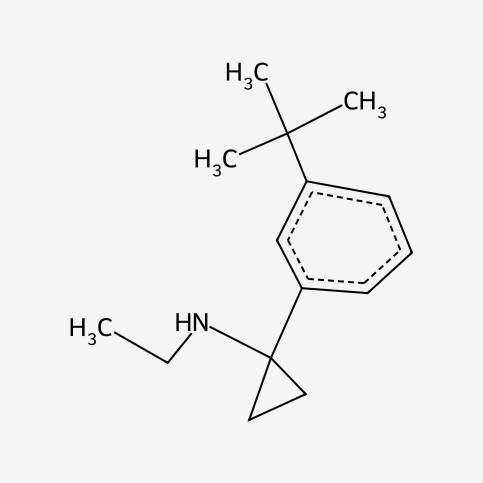 CCNC1(c2cccc(C(C)(C)C)c2)CC1